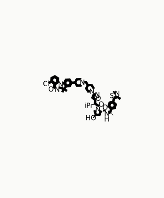 Cc1ncsc1-c1ccc([C@H](C)NC(=O)[C@@H]2C[C@@H](O)CN2C(=O)[C@@H](c2cc(N3CCC(CN4CCC(c5ccc6c(c5)C(C)(C)c5nc(=O)c7c(Cl)cccc7n5-6)CC4)CC3)no2)C(C)C)cc1